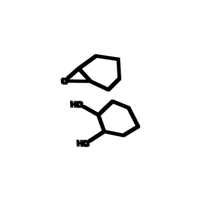 C1CCC2OC2C1.OC1CCCCC1O